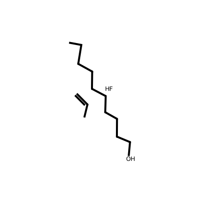 C=CC.CCCCCCCCCCO.F